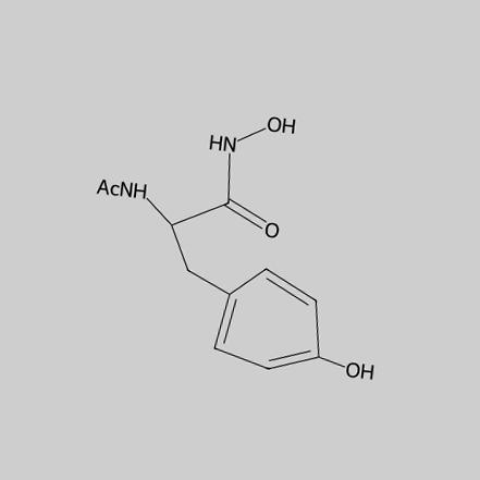 CC(=O)NC(Cc1ccc(O)cc1)C(=O)NO